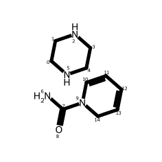 C1CNCCN1.NC(=O)N1C=CC=CC1